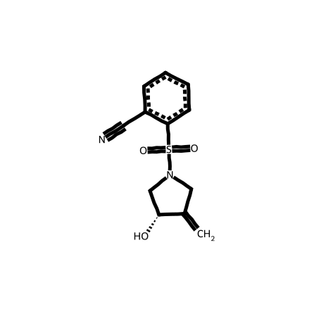 C=C1CN(S(=O)(=O)c2ccccc2C#N)C[C@H]1O